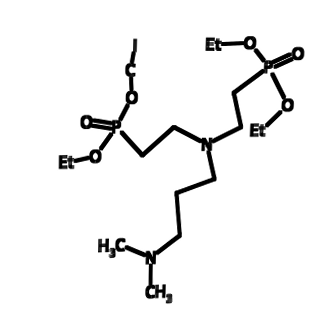 CCOP(=O)(CCN(CCCN(C)C)CCP(=O)(OCC)OCI)OCC